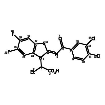 CCC(C(=O)O)n1/c(=N/C(=O)c2ccc(Cl)c(Cl)c2)sc2cc(F)c(F)cc21